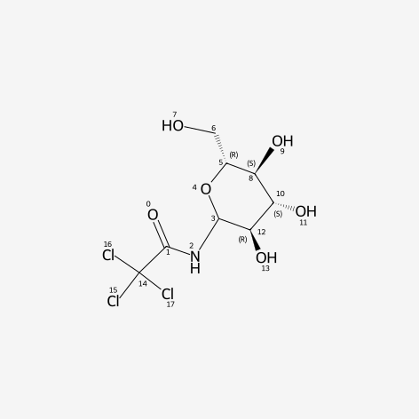 O=C(NC1O[C@H](CO)[C@@H](O)[C@H](O)[C@H]1O)C(Cl)(Cl)Cl